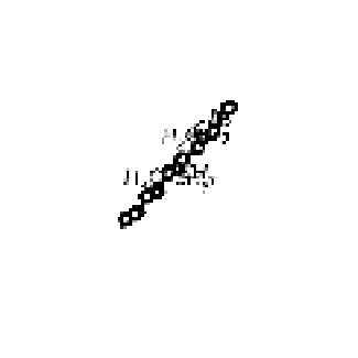 Cc1cc2c(cc1-c1ccc3c(c1)CCC(c1ccc4ccccc4c1)=C3)C(C)(C)c1cc(C3=CC4=C(CC3)c3ccc(-c5nc6c(s5)CCC=C6)cc3C4(C)C)ccc1-2